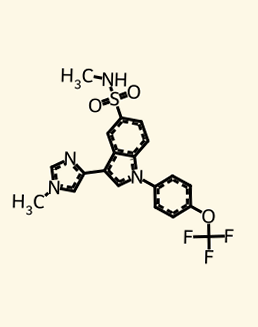 CNS(=O)(=O)c1ccc2c(c1)c(-c1cn(C)cn1)cn2-c1ccc(OC(F)(F)F)cc1